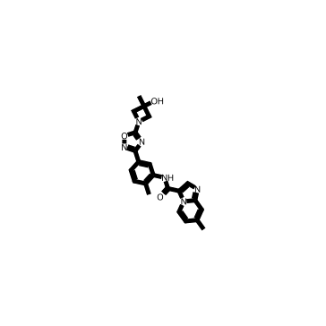 Cc1ccn2c(C(=O)Nc3cc(-c4noc(N5CC(C)(O)C5)n4)ccc3C)cnc2c1